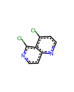 Clc1ccnc2ccnc(Cl)c12